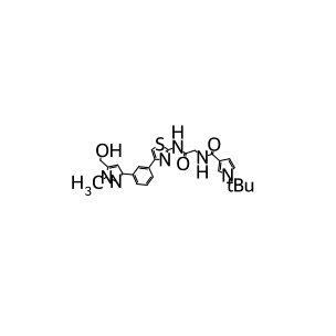 Cn1nc(-c2cccc(-c3csc(NC(=O)CNC(=O)c4ccn(C(C)(C)C)c4)n3)c2)cc1CO